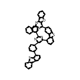 c1ccc(-c2nc(-c3cccc(-c4cccc5c4sc4ccccc45)c3)cc(-c3cccc4sc5ccc(-c6nc(-c7ccccc7)nc7c6oc6ccccc67)cc5c34)n2)cc1